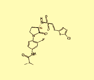 CC(C)C(=O)Nc1ccc(N2CC[C@H](NS(=O)(=O)C=Cc3ccc(Cl)s3)C2=O)c(F)c1